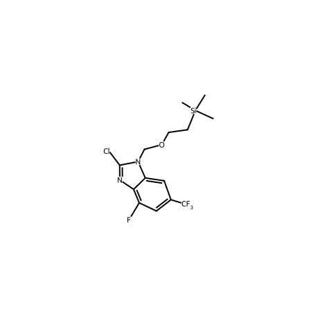 C[Si](C)(C)CCOCn1c(Cl)nc2c(F)cc(C(F)(F)F)cc21